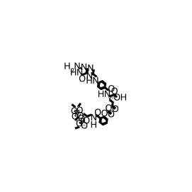 CCOP(=O)(OCC)OCC(CNC(=O)c1ccccc1OC(=O)OC(=O)CC[C@@H](NC(=O)c1ccc(NCc2cnc3nc(N)[nH]c(=O)c3n2)cc1)C(=O)O)OP(=O)(OCC)OCC